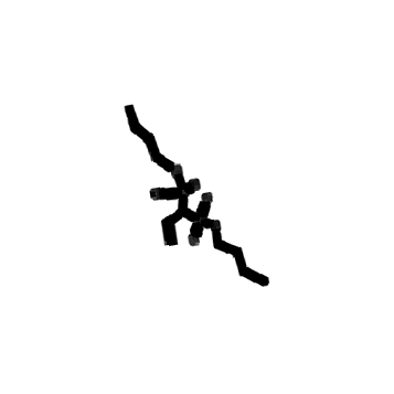 C=CC(S(=O)(=O)OCCCC)S(=O)(=O)OCCCC